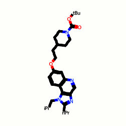 CCCc1nc2cnc3cc(OCCC4CCN(C(=O)OC(C)(C)C)CC4)ccc3c2n1CC(C)C